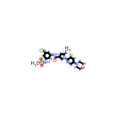 Cc1cc(C(=O)Nc2cc(Cl)cc(NS(C)(=O)=O)c2)cn1-c1ncc(N2CCOCC2)cc1F